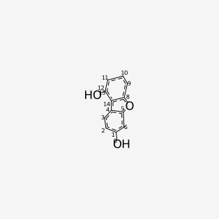 Oc1ccc2c(c1)oc1cccc(O)c12